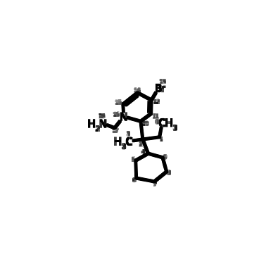 CCC(C)(C1CCCCC1)C1C=C(Br)C=CN1CN